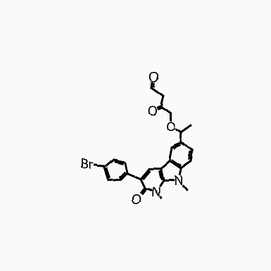 CC(OCC(=O)CC=O)c1ccc2c(c1)c1cc(-c3ccc(Br)cc3)c(=O)n(C)c1n2C